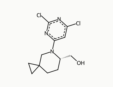 OC[C@@H]1CCC2(CC2)CN1c1cc(Cl)nc(Cl)n1